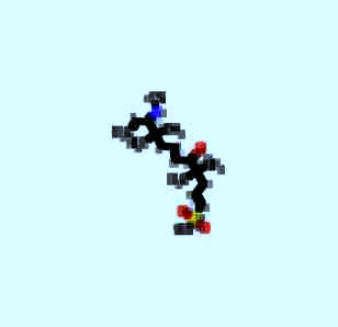 C=C/C(=N\C#N)C(C)(C)C/C=C/C(=O)C(C)(C)C/C=C/S(=O)(=O)C(C)(C)C